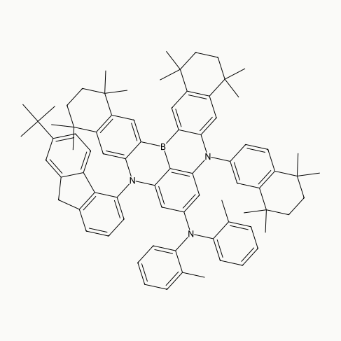 Cc1ccccc1N(c1cc2c3c(c1)N(c1cccc4c1-c1ccc(C(C)(C)C)cc1C4)c1cc4c(cc1B3c1cc3c(cc1N2c1ccc2c(c1)C(C)(C)CCC2(C)C)C(C)(C)CCC3(C)C)C(C)(C)CCC4(C)C)c1ccccc1C